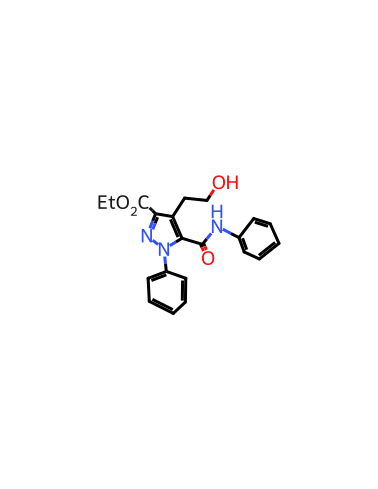 CCOC(=O)c1nn(-c2ccccc2)c(C(=O)Nc2ccccc2)c1CCO